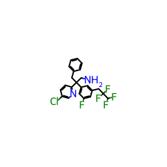 NCC(Cc1ccccc1)(c1cc(F)cc(CC(F)(F)C(F)F)c1)c1ccc(Cl)cn1